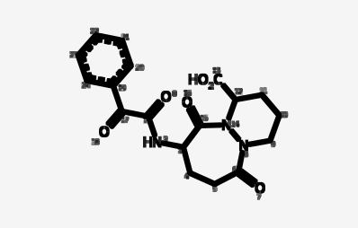 O=C(NC1CCC(=O)N2CCCC(C(=O)O)N2C1=O)C(=O)c1ccccc1